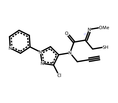 C#CCN(C(=O)/C(CS)=N/OC)c1cn(-c2cccnc2)nc1Cl